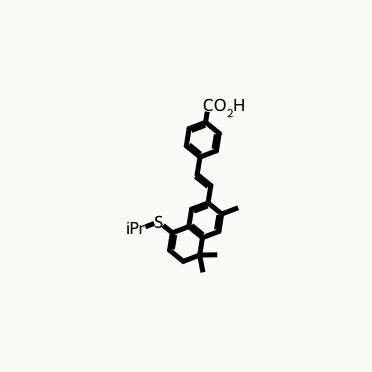 Cc1cc2c(cc1C=Cc1ccc(C(=O)O)cc1)C(SC(C)C)=CCC2(C)C